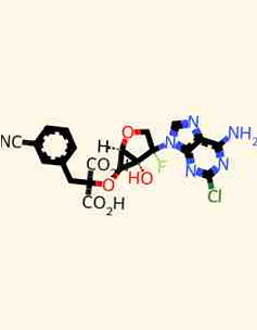 N#Cc1cccc(CC(OC2[C@H]3OC[C@@](F)(n4cnc5c(N)nc(Cl)nc54)[C@@]23O)(C(=O)O)C(=O)O)c1